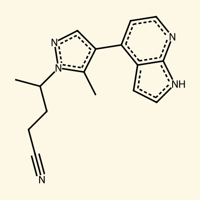 Cc1c(-c2ccnc3[nH]ccc23)cnn1C(C)CCC#N